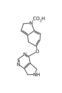 O=C(O)N1CC=C2CC(Oc3ncnc4c3CNC4)=CC=C21